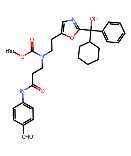 CC(C)(C)OC(=O)N(CCC(=O)Nc1ccc(C=O)cc1)CCc1cnc(C(O)(c2ccccc2)C2CCCCC2)o1